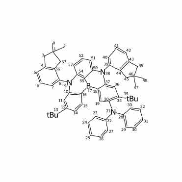 CC1(C)Cc2cccc(N3c4cc(C(C)(C)C)ccc4B4c5cc(N(c6ccccc6)c6ccccc6)c(C(C)(C)C)cc5N(c5cccc6c5CC(C)(C)C6)c5cccc3c54)c2C1